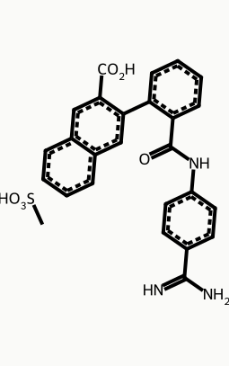 CS(=O)(=O)O.N=C(N)c1ccc(NC(=O)c2ccccc2-c2cc3ccccc3cc2C(=O)O)cc1